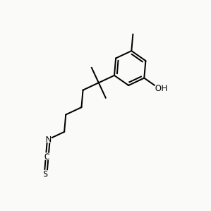 Cc1cc(O)cc(C(C)(C)CCCCN=C=S)c1